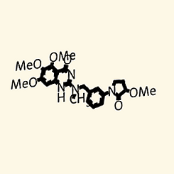 COc1cc2[nH]c(N(C)Cc3cccc(N4CCC(OC)C4=O)c3)nc(=O)c2c(OC)c1OC